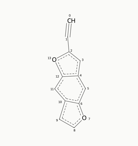 C#Cc1cc2cc3occc3cc2o1